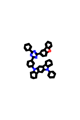 c1ccc(-c2nc(-c3cccc(-n4c5ccccc5c5cc6c(cc54)c4ccccc4n6-c4ccccc4)c3)nc(-c3ccc4oc5ccccc5c4c3)n2)cc1